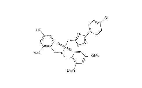 COc1ccc(CN(Cc2ccc(O)cc2OC)S(=O)(=O)Cc2nc(-c3ccc(Br)cc3)no2)c(OC)c1